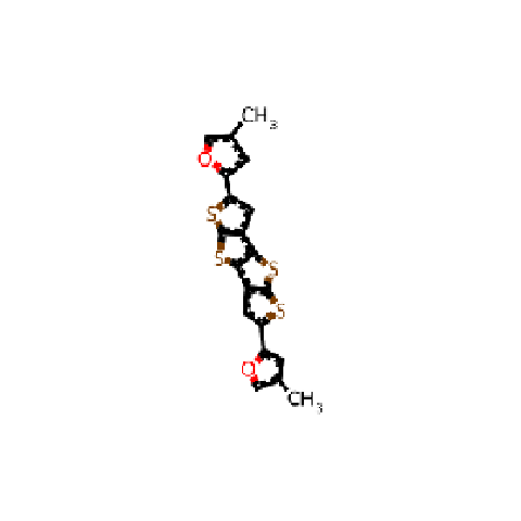 Cc1coc(-c2cc3c(s2)sc2c4cc(-c5cc(C)co5)sc4sc32)c1